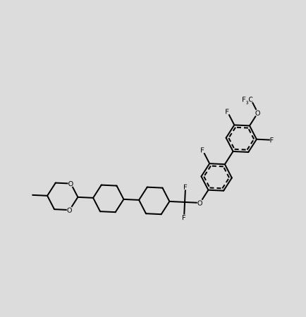 CC1COC(C2CCC(C3CCC(C(F)(F)Oc4ccc(-c5cc(F)c(OC(F)(F)F)c(F)c5)c(F)c4)CC3)CC2)OC1